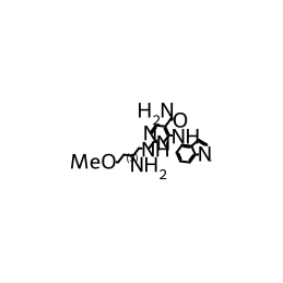 COCC[C@H](N)CNc1ncc(C(N)=O)c(Nc2cccc3c2ccn3C)n1